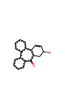 O=c1c2c(c3ccccc3c3ccccc13)C=CC(Br)C2